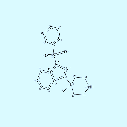 C[N+]1(c2nn(S(=O)(=O)c3ccccc3)c3ccccc23)CCNCC1